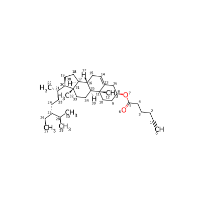 C#CCCCC(=O)O[C@H]1CC[C@@]2(C)C(=CC[C@H]3[C@@H]4CC[C@H]([C@@H](C)CC[C@@H](CC)C(C)C)[C@@]4(C)CC[C@@H]32)C1